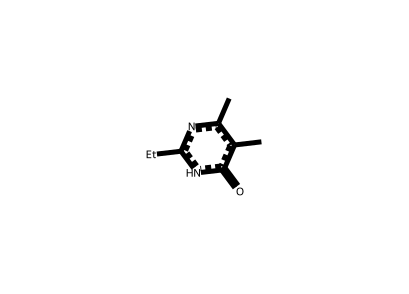 CCc1nc(C)c(C)c(=O)[nH]1